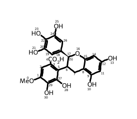 COc1cc(C(=O)O)c(C2Cc3c(O)cc(O)cc3O[C@@H]2c2cc(O)c(O)c(O)c2)c(O)c1O